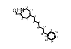 O=CC1CCC(CCCCCCc2ccccc2)CCN1